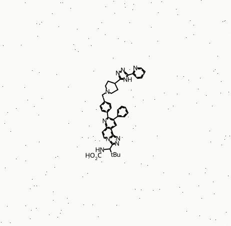 CC(C)(C)C(NC(=O)O)c1nnc2c3cc(-c4ccccc4)c(-c4ccc(CN5CCC(c6nnc(-c7ccccn7)[nH]6)CC5)cc4)nc3ccn12